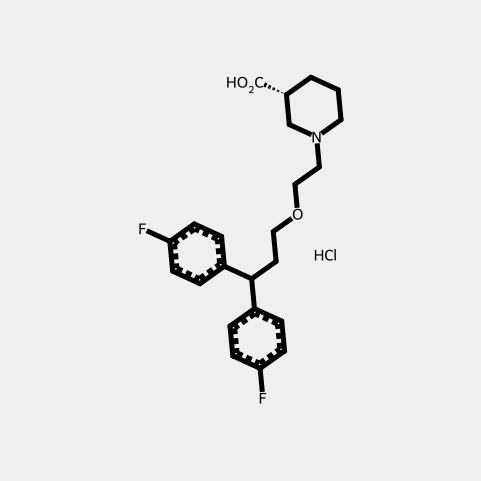 Cl.O=C(O)[C@@H]1CCCN(CCOCCC(c2ccc(F)cc2)c2ccc(F)cc2)C1